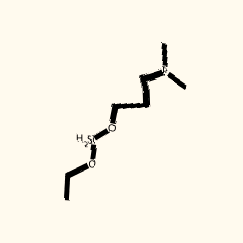 CCO[SiH2]OCCCP(C)C